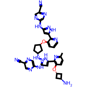 Cc1ccc(O[C@H]2C[C@H](N)C2)c(-c2cc(Nc3cnc(C#N)cn3)[n+](N[C@H]3CC[C@@H](Oc4cccnc4-c4cc(Nc5cnc(C#N)cn5)n[nH]4)C3)[nH]2)n1